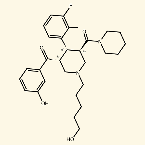 Cc1c(F)cccc1[C@H]1[C@@H](C(=O)c2cccc(O)c2)CN(CCCCCO)C[C@@H]1C(=O)N1CCCCC1